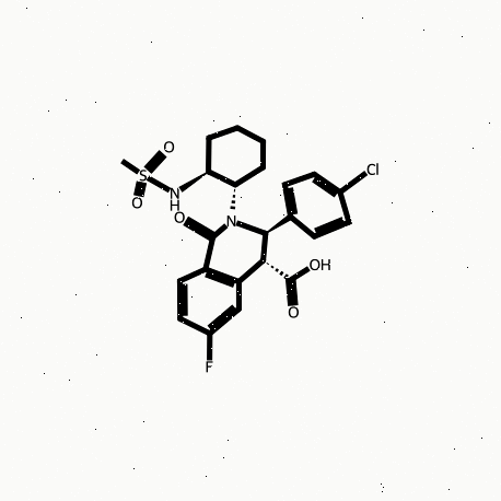 CS(=O)(=O)N[C@H]1CCCC[C@@H]1N1C(=O)c2ccc(F)cc2[C@@H](C(=O)O)[C@@H]1c1ccc(Cl)cc1